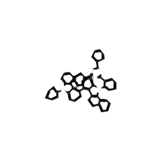 c1ccc(-c2nc(-c3ccccc3)nc(-c3ccccc3-n3c4cccc(-c5cccc6c5c5ccccc5n6-c5ccccc5)c4c4ccc5ccccc5c43)n2)cc1